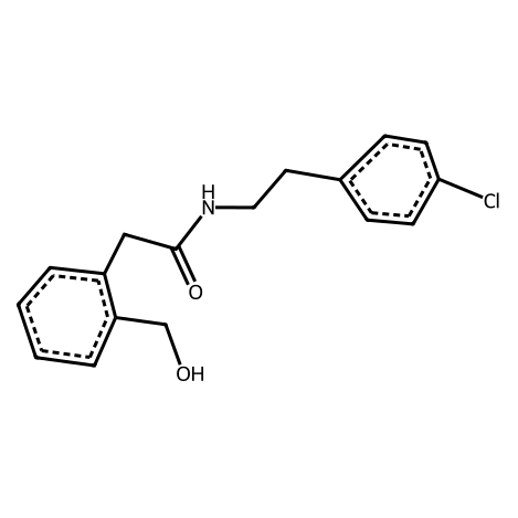 O=C(Cc1ccccc1CO)NCCc1ccc(Cl)cc1